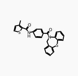 Cc1ccsc1C(=O)Nc1ccc(C(=O)N2Cc3ccccc3Sc3ccccc32)cc1